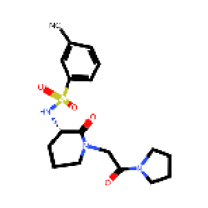 N#Cc1cccc(S(=O)(=O)N[C@H]2CCCN(CC(=O)N3CCCC3)C2=O)c1